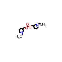 CCN1CCCC(COC(=O)OCC2CCCN(CC)C2)C1